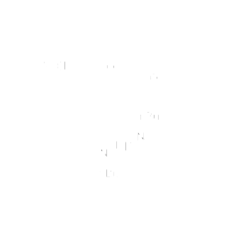 C1CCOC1.C1CCOC1.CCCC[N]([Hf+2][N](CCCC)c1ccccc1)c1ccccc1.[Cl-].[Cl-]